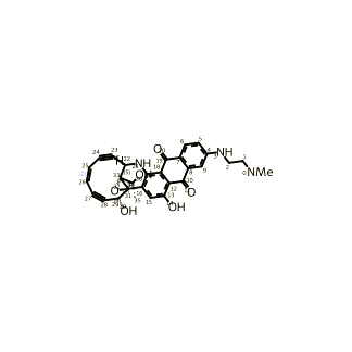 CNCCNc1ccc2c(c1)C(=O)c1c(O)cc3c(c1C2=O)N[C@H]1C#C/C=C\C#C[C@@H](O)[C@@]32O[C@@]12[C@@H](C)O